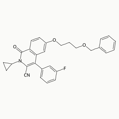 N#Cc1c(-c2cccc(F)c2)c2cc(OCCCOCc3ccccc3)ccc2c(=O)n1C1CC1